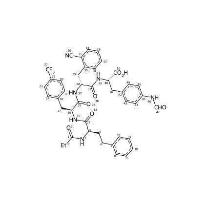 CCC(=O)N[C@H](CCc1ccccc1)C(=O)N[C@@H](Cc1ccc(C(F)(F)F)cc1)C(=O)N[C@H](Cc1ccccc1C#N)C(=O)N[C@@H](Cc1ccc(NC=O)cc1)C(=O)O